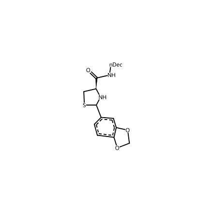 CCCCCCCCCCNC(=O)[C@@H]1CSC(c2ccc3c(c2)OCO3)N1